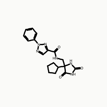 O=C1NC(=O)C(CNC(=O)c2cnn(-c3ccccc3)n2)(C2CCCC2)N1